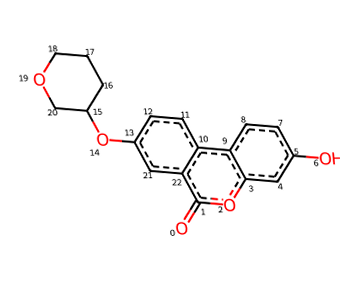 O=c1oc2cc(O)ccc2c2ccc(OC3CCCOC3)cc12